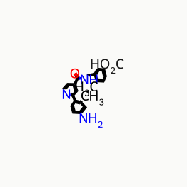 Cc1cc(N)ccc1-c1cc(C(=O)NCc2c(C)cccc2C(=O)O)ccn1